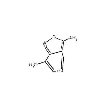 Cc1onc2c(C)cccc12